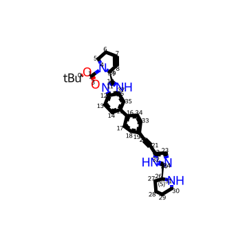 CC(C)(C)OC(=O)N1CCC#C[C@H]1c1nc2ccc(-c3ccc(C#Cc4cnc([C@@H]5CCCCN5)[nH]4)cc3)cc2[nH]1